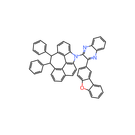 c1ccc(C2c3cccc4ccc5c(c34)c3c(cccc3n5-c3nc4ccccc4nc3-c3ccc4oc5ccccc5c4c3)C2c2ccccc2)cc1